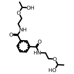 CC(O)OCCNC(=O)c1cccc(C(=O)NCCOC(C)O)c1